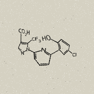 O=C(O)c1cnn(-c2cccc(-c3cc(Cl)ccc3O)n2)c1C(F)(F)F